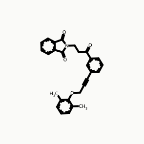 Cc1cccc(C)c1OCC#Cc1cccc(C(=O)CCN2C(=O)c3ccccc3C2=O)c1